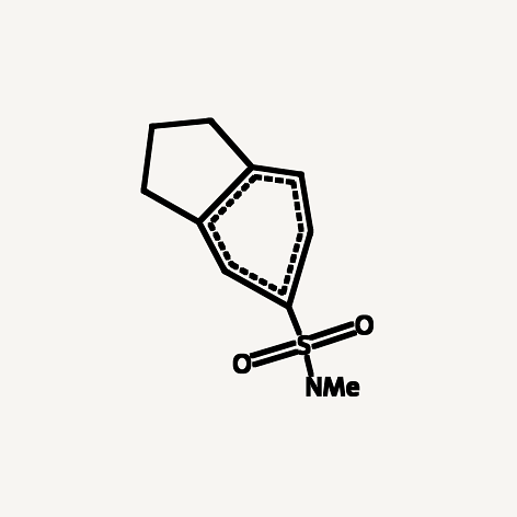 CNS(=O)(=O)c1ccc2c(c1)CCC2